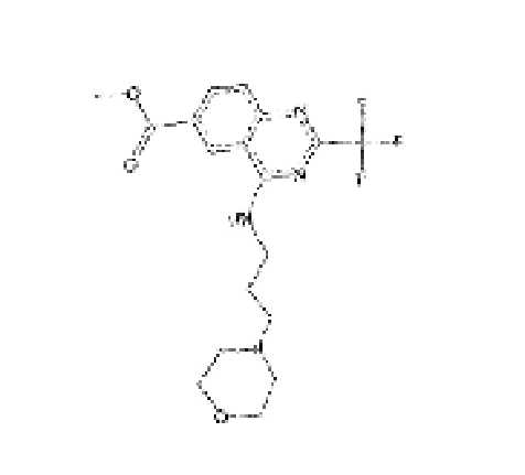 COC(=O)c1ccc2nc(C(F)(F)F)nc(NCCCN3CCOCC3)c2c1